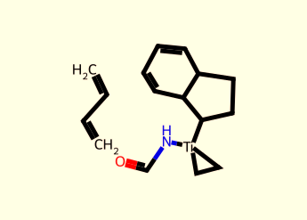 C=CC=C.O=C[NH][Ti]1([CH]2CCC3C=CC=CC32)[CH2][CH2]1